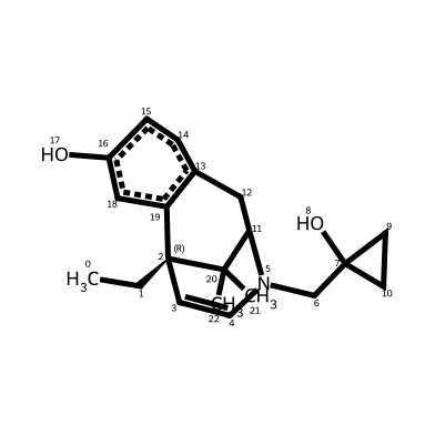 CC[C@@]12C=CN(CC3(O)CC3)C(Cc3ccc(O)cc31)C2(C)C